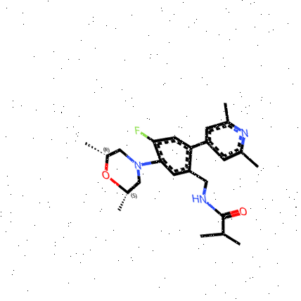 Cc1cc(-c2cc(F)c(N3C[C@@H](C)O[C@@H](C)C3)cc2CNC(=O)C(C)C)cc(C)n1